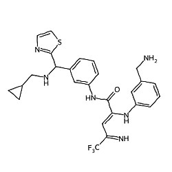 N=C(/C=C(\Nc1cccc(CN)c1)C(=O)Nc1cccc(C(NCC2CC2)c2nccs2)c1)C(F)(F)F